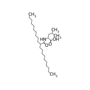 CCCCCCCCCCC(CCCCCCCCCC)C(=O)NC(CC(C)C)C(=O)O